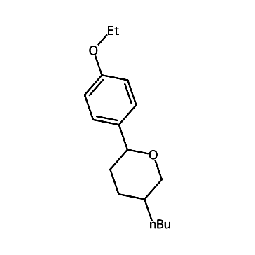 CCCCC1CCC(c2ccc(OCC)cc2)OC1